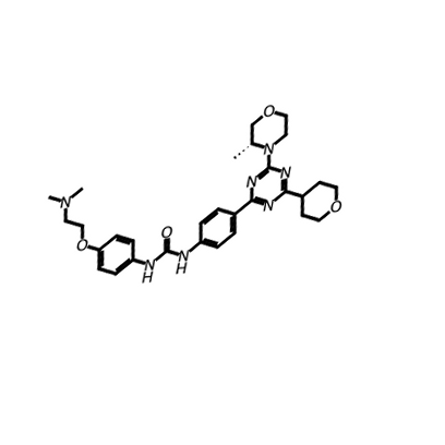 C[C@@H]1COCCN1c1nc(-c2ccc(NC(=O)Nc3ccc(OCCN(C)C)cc3)cc2)nc(C2CCOCC2)n1